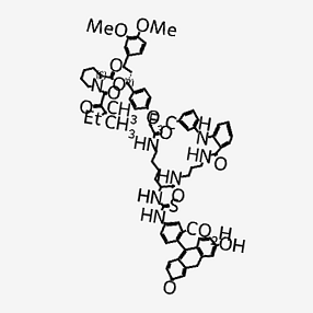 CCC(C)(C)C(=O)C(=O)N1CCCC[C@H]1C(=O)O[C@H](CCc1ccc(OC)c(OC)c1)c1ccc(OCC(=O)NCCCCC(NC(=S)Nc2ccc(C3=C4C=CC(=O)C=C4Cc4cc(O)ccc43)c(C(=O)O)c2)C(=O)NCCCNC(=O)c2ccccc2Nc2cccc(C(F)(F)F)c2)cc1